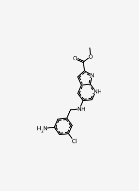 COC(=O)c1cc2cc(NCc3cc(N)cc(Cl)c3)c[nH]c-2n1